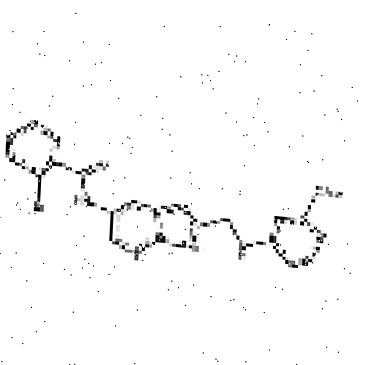 COc1cccc(NCc2cc3cc(NC(=O)c4ccccc4Br)cnc3[nH]2)c1